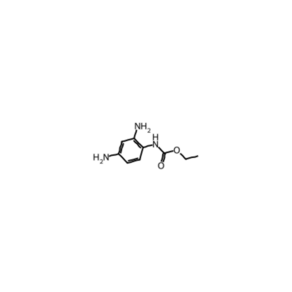 CCOC(=O)Nc1ccc(N)cc1N